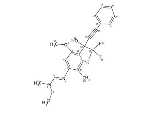 CCN(C)/C=N/c1cc(OC)c(C(O)(C#Cc2ccccc2)C(F)(F)F)cc1C